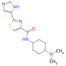 CN(C)C1CCC(NC(=O)c2csc(-c3cnc[nH]3)n2)CC1